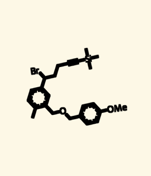 COc1ccc(COCc2cc(C(Br)CCC#C[Si](C)(C)C)ccc2C)cc1